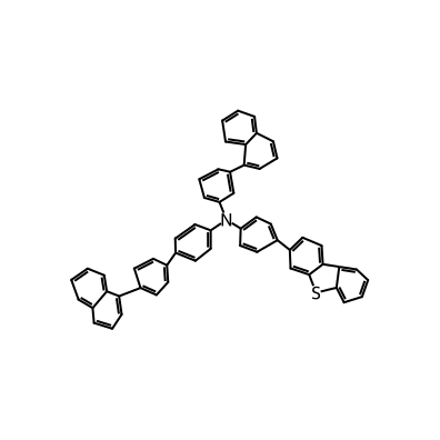 c1cc(-c2cccc3ccccc23)cc(N(c2ccc(-c3ccc(-c4cccc5ccccc45)cc3)cc2)c2ccc(-c3ccc4c(c3)sc3ccccc34)cc2)c1